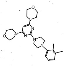 Cc1cccc(N2CCN(c3nc(N4CCOCC4)cc(N4CCOCC4)n3)CC2)c1C